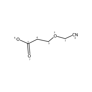 N#CCOCCC([O])=O